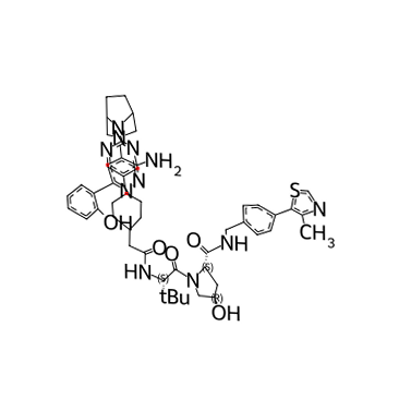 Cc1ncsc1-c1ccc(CNC(=O)[C@@H]2C[C@@H](O)CN2C(=O)[C@@H](NC(=O)CC2CCC(c3cnc(N4C5CCC4CN(c4cc(-c6ccccc6O)nnc4N)C5)nc3)CC2)C(C)(C)C)cc1